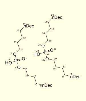 CCCCCCCCCCCCCCOP(=O)(O)OCCCCCCCCCCCCCC.CCCCCCCCCCCCCCOP(=O)(O)OCCCCCCCCCCCCCC